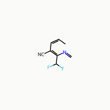 C=N/C(=C(C#N)\C=C/C)C(F)F